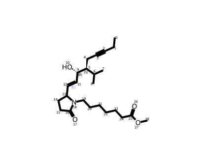 CCC#CC[C@@H](C(C)C)[C@@H](O)/C=C/C1CCC(=O)N1CCCCCCC(=O)OC